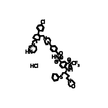 CC1(CN2CCCNCC2)CCC(c2ccc(Cl)cc2)=C(CN2CCN(c3ccc(C(=O)NS(=O)(=O)c4ccc(NC(CCN5CCOCC5)CSc5ccccc5)c(S(=O)(=O)C(F)(F)F)c4)cc3)CC2)C1.Cl